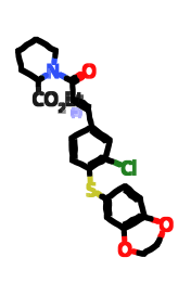 CCOC(=O)C1CCCCN1C(=O)/C=C/c1ccc(Sc2ccc3c(c2)OCCO3)c(Cl)c1